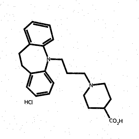 Cl.O=C(O)C1CCN(CCCN2c3ccccc3CCc3ccccc32)CC1